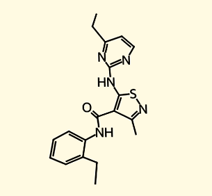 CCc1ccnc(Nc2snc(C)c2C(=O)Nc2ccccc2CC)n1